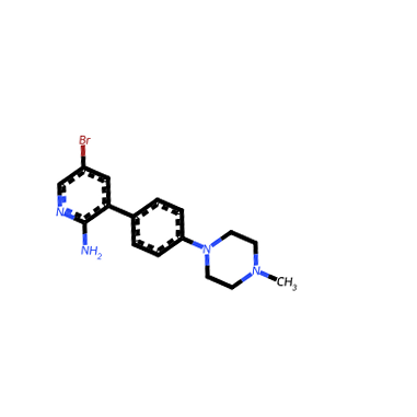 CN1CCN(c2ccc(-c3cc(Br)cnc3N)cc2)CC1